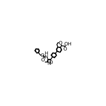 Cc1noc(-c2ccc(-c3ccc4c(c3)CCOC4C(=O)O)cc2)c1NC(=O)OCc1ccccc1